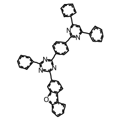 c1ccc(-c2cc(-c3ccccc3)nc(-c3ccc(-c4nc(-c5ccccc5)nc(-c5ccc6c(c5)oc5ccccc56)n4)cc3)n2)cc1